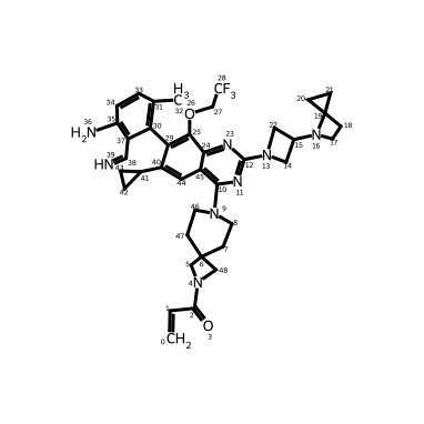 C=CC(=O)N1CC2(CCN(c3nc(N4CC(N5CCC56CC6)C4)nc4c(OCC(F)(F)F)c(-c5c(C)ccc(N)c5C=N)c(C5CC5)cc34)CC2)C1